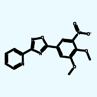 COc1cc(-c2nc(-c3ccccn3)no2)cc([N+](=O)[O-])c1OC